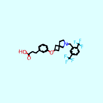 O=C(O)CCc1cccc(OC2CC3(CCN(Cc4cc(C(F)(F)F)ccc4C(F)(F)F)C3)C2)c1